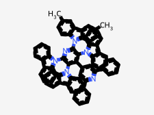 Cc1ccc2c(c1)c1cc(C)ccc1n2-c1nc(-n2c3ccccc3c3ccccc32)c(-n2c3ccccc3c3ccccc32)c(-c2cc(-c3ccccc3)nc(-c3ccccc3)c2)c1-n1c2ccccc2c2ccccc21